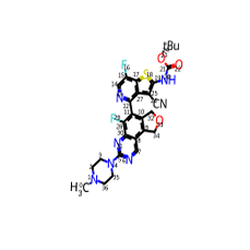 CN1CCN(c2ncc3c4c(c(-c5ncc(F)c6sc(NC(=O)OC(C)(C)C)c(C#N)c56)c(F)c3n2)COC4)CC1